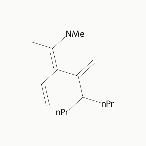 C=C/C(C(=C)C(CCC)CCC)=C(\C)NC